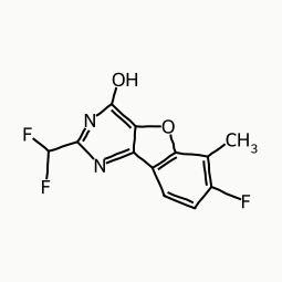 Cc1c(F)ccc2c1oc1c(O)nc(C(F)F)nc12